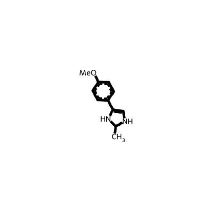 COc1ccc(C2=CNC(C)N2)cc1